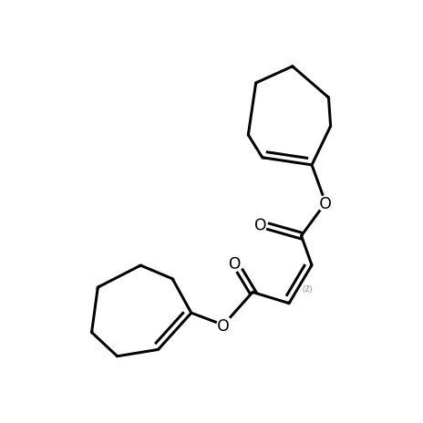 O=C(/C=C\C(=O)OC1=CCCCCC1)OC1=CCCCCC1